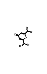 O=c1cc(C(Br)Br)oc(C(Br)Br)c1